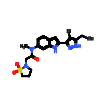 CCc1c(-c2cc3ccc(N(C)C(=O)CN4CCCS4(=O)=O)cc3[nH]2)n[nH]c1CC(C)(C)C